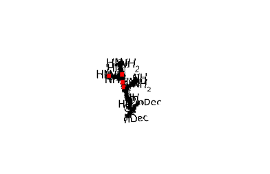 CCCCCCCCCCCCCCN(CCCCCCCCCCCCCC)C(=O)CNC(=O)CNCCCN(CCCCN(CCCNC(=N)N)CCCNC(=N)N)CCCNC(=N)N